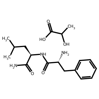 CC(C)C[C@@H](NC(=O)[C@H](N)Cc1ccccc1)C(N)=O.CC(O)C(=O)O